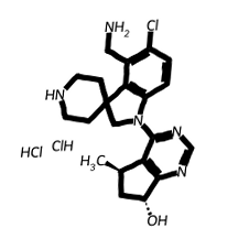 C[C@@H]1C[C@@H](O)c2ncnc(N3CC4(CCNCC4)c4c3ccc(Cl)c4CN)c21.Cl.Cl